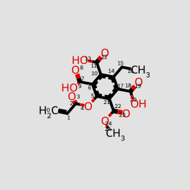 C=CC(=O)Oc1c(C(=O)O)c(C(=O)O)c(CC)c(C(=O)O)c1C(=O)OC